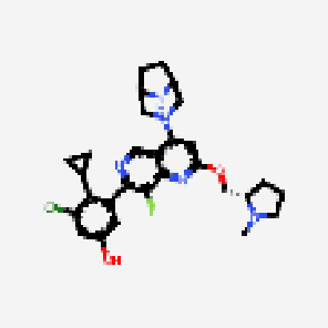 CN1CCC[C@H]1COc1cc(N2CC3CCC(C2)N3)c2cnc(-c3cc(O)cc(Cl)c3C3CC3)c(F)c2n1